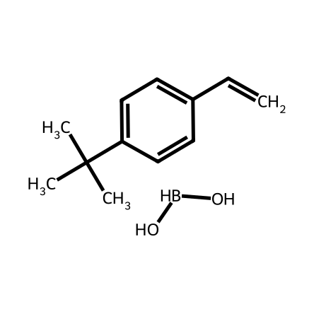 C=Cc1ccc(C(C)(C)C)cc1.OBO